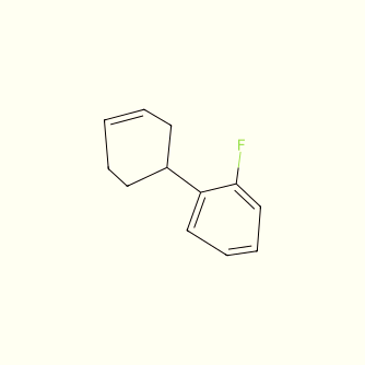 Fc1ccccc1C1CC=CCC1